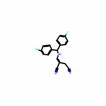 N#CC/C(C#N)=C\NC(c1ccc(F)cc1)c1ccc(F)cc1